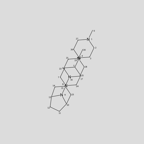 CN1CCN(C2CCN(N3C4CCC3CC(N3CCN(C)CC3)C4)CC2)CC1